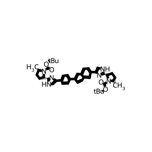 C[C@H]1CC[C@@H](c2nc(-c3ccc(-c4ccc5cc(-c6c[nH]c([C@@H]7CC[C@H](C)N7C(=O)OC(C)(C)C)n6)ccc5c4)cc3)c[nH]2)N1C(=O)OC(C)(C)C